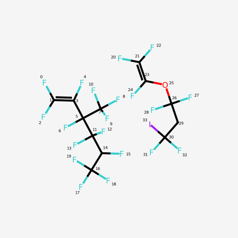 FC(F)=C(F)C(F)(C(F)(F)F)C(F)(F)C(F)C(F)(F)F.FC(F)=C(F)OC(F)(F)CC(F)(F)I